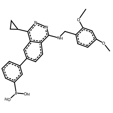 COc1ccc(CNc2nnc(C3CC3)c3cc(-c4cccc(B(O)O)c4)ccc23)c(OC)c1